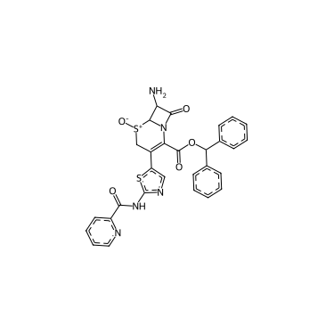 NC1C(=O)N2C(C(=O)OC(c3ccccc3)c3ccccc3)=C(c3cnc(NC(=O)c4ccccn4)s3)C[S+]([O-])C12